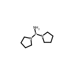 NP(N1CCCC1)N1CCCC1